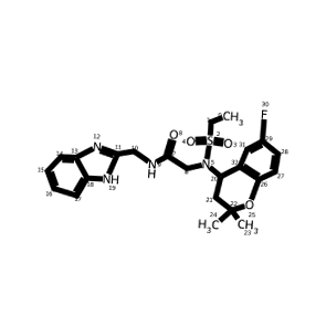 CCS(=O)(=O)N(CC(=O)NCc1nc2ccccc2[nH]1)C1CC(C)(C)Oc2ccc(F)cc21